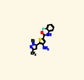 CCn1nc(C(F)(F)F)cc1-c1sc(C(=O)Nc2ccccc2F)cc1N